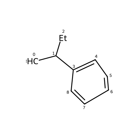 [CH]C(CC)c1ccccc1